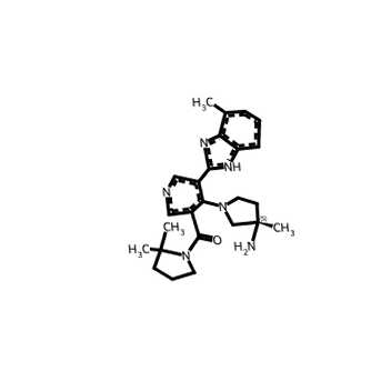 Cc1cccc2[nH]c(-c3cncc(C(=O)N4CCCC4(C)C)c3N3CC[C@](C)(N)C3)nc12